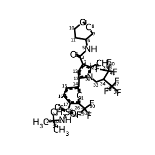 Cc1c(C(=O)NC2CCOCC2)cc(-c2ccc(S(=O)(=O)NC(C)(C)C)c(C(F)(F)F)c2)n1CC(C(F)(F)F)C(F)(F)F